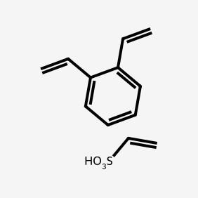 C=CS(=O)(=O)O.C=Cc1ccccc1C=C